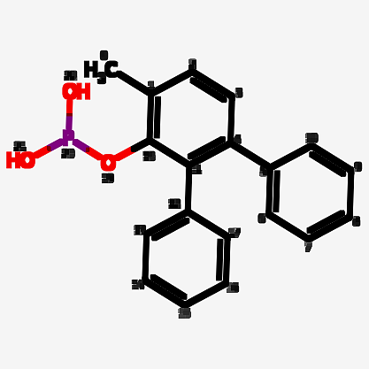 Cc1ccc(-c2ccccc2)c(-c2ccccc2)c1OP(O)O